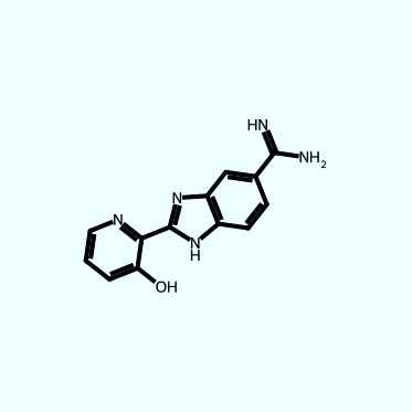 N=C(N)c1ccc2[nH]c(-c3ncccc3O)nc2c1